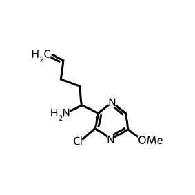 C=CCCC(N)c1ncc(OC)nc1Cl